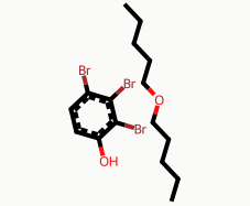 CCCCCOCCCCC.Oc1ccc(Br)c(Br)c1Br